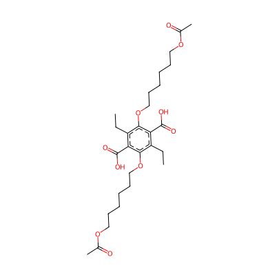 CCc1c(OCCCCCCOC(C)=O)c(C(=O)O)c(CC)c(OCCCCCCOC(C)=O)c1C(=O)O